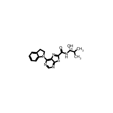 CC(C)[C@@H](O)NC(=O)c1nc2c(N3CCc4ccccc43)ncnc2s1